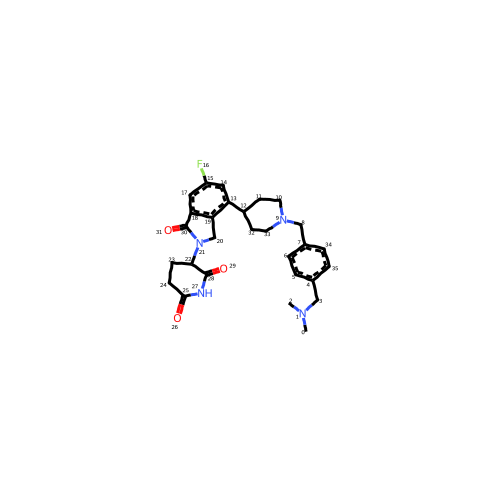 CN(C)Cc1ccc(CN2CCC(c3cc(F)cc4c3CN(C3CCC(=O)NC3=O)C4=O)CC2)cc1